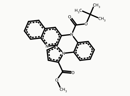 COC(=O)c1ccnn1-c1ccccc1N(C(=O)OC(C)(C)C)c1cnc2ccccc2c1